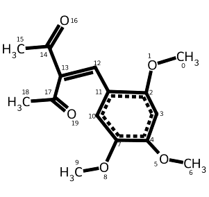 COc1cc(OC)c(OC)cc1C=C(C(C)=O)C(C)=O